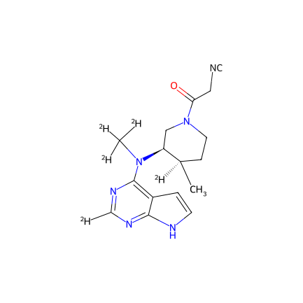 [2H]c1nc(N([C@H]2CN(C(=O)C[N+]#[C-])CC[C@@]2([2H])C)C([2H])([2H])[2H])c2cc[nH]c2n1